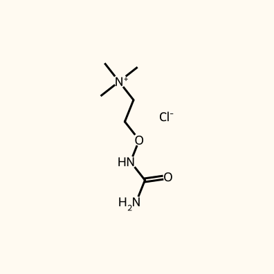 C[N+](C)(C)CCONC(N)=O.[Cl-]